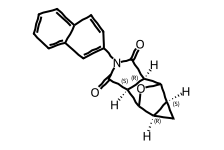 O=C1[C@@H]2C3OC([C@H]4C[C@@H]34)[C@@H]2C(=O)N1c1ccc2ccccc2c1